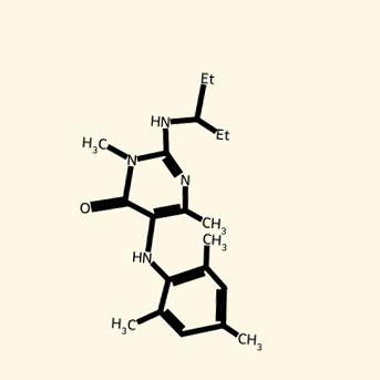 CCC(CC)Nc1nc(C)c(Nc2c(C)cc(C)cc2C)c(=O)n1C